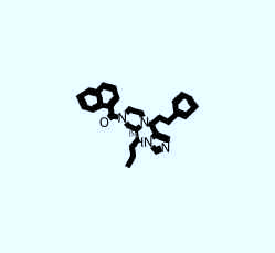 CCCC[C@H]1CN(C(=O)c2cccc3ccccc23)CCN1C(CCc1ccccc1)c1cnc[nH]1